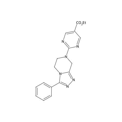 CCOC(=O)c1cnc(N2CCn3c(nnc3-c3ccccc3)C2)nc1